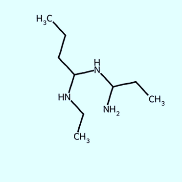 CCCC(NCC)NC(N)CC